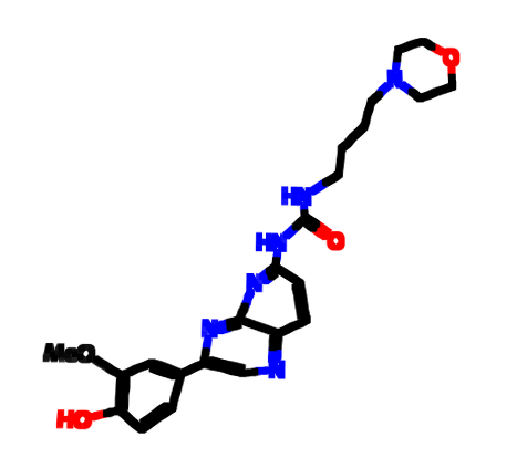 COc1cc(-c2cnc3ccc(NC(=O)NCCCCN4CCOCC4)nc3n2)ccc1O